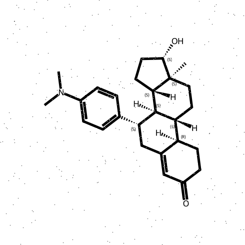 CN(C)c1ccc([C@H]2CC3=CC(=O)CC[C@@H]3[C@H]3CC[C@]4(C)[C@@H](O)CC[C@H]4[C@@H]32)cc1